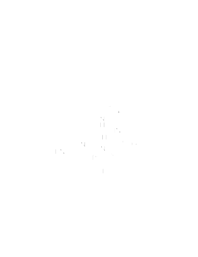 CC(C)N(C)[C@@H](CO)C(=O)NC[C@H](C(=O)NCc1ccc(N)nc1)C1CCCCC1